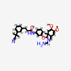 C=C1C=C(OC)C(OC)=CC1(C)C(/N=C\N)Oc1cccc(NC(=O)CCc2cccc(C(C)(C)C#N)c2)c1